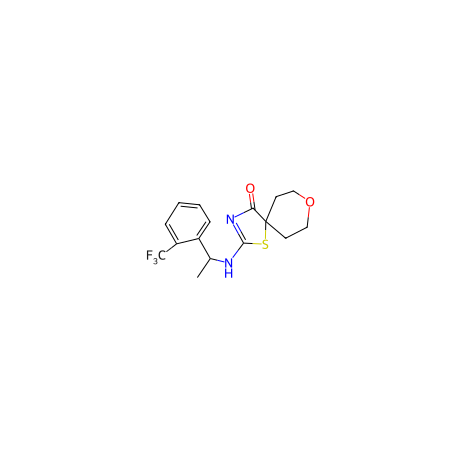 CC(NC1=NC(=O)C2(CCOCC2)S1)c1ccccc1C(F)(F)F